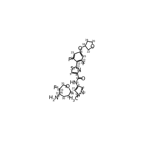 Cn1ncc(NC(=O)c2csc(-c3c(F)cc(OC4CCOC4)cc3F)n2)c1[C@@H]1CC[C@@H](N)[C@H](F)CO1